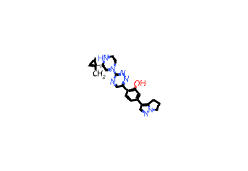 CC1([C@H]2CN(c3ncc(-c4ccc(-c5cnn6c5CCC6)cc4O)nn3)CCN2)CC1